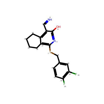 N=Cc1c(O)nc(SCc2ccc(F)c(F)c2)c2c1CCCC2